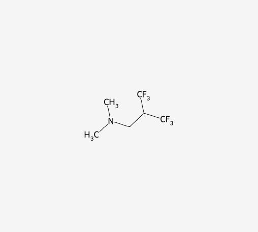 CN(C)CC(C(F)(F)F)C(F)(F)F